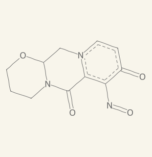 O=Nc1c2n(ccc1=O)CC1OCCCN1C2=O